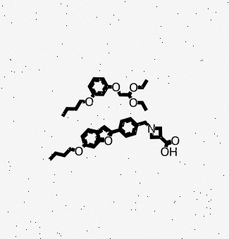 CCCCOc1ccc2cc(-c3ccc(CN4CC(C(=O)O)C4)cc3)oc2c1.CCCCOc1cccc(OCC(OCC)OCC)c1